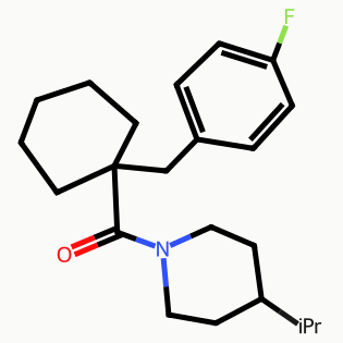 CC(C)C1CCN(C(=O)C2(Cc3ccc(F)cc3)CCCCC2)CC1